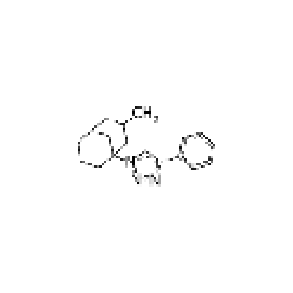 CC1CC2CCCC(n3cc(-c4ccccc4)nn3)(C1)C2